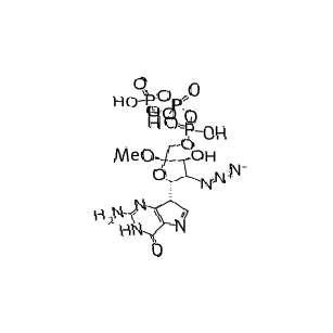 CO[C@]1(COP(=O)(O)OP(=O)(O)OP(=O)(O)O)O[C@@H](C2C=Nc3c2nc(N)[nH]c3=O)C(N=[N+]=[N-])[C@@H]1O